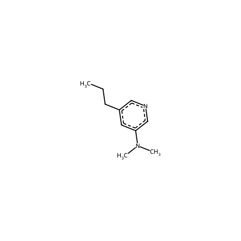 CCCc1cncc(N(C)C)c1